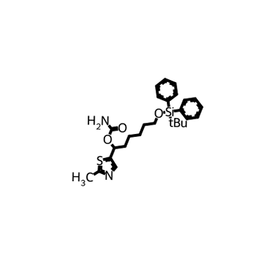 Cc1ncc(C(CCCCCO[Si](c2ccccc2)(c2ccccc2)C(C)(C)C)OC(N)=O)s1